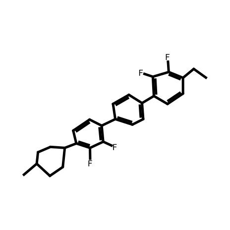 CCc1ccc(-c2ccc(-c3ccc(C4CCC(C)CC4)c(F)c3F)cc2)c(F)c1F